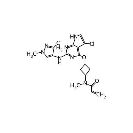 C=CC(=O)N(C)[C@H]1C[C@H](Oc2nc(Nc3cn(C)nc3C)nc3[nH]cc(Cl)c23)C1